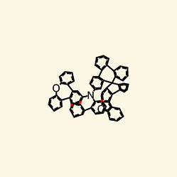 c1ccc(-c2ccccc2N(c2ccc3c(c2)-c2ccccc2Oc2ccccc2-3)c2ccc3c(c2)C2(c4ccccc4-c4ccccc4-3)c3ccccc3-c3c2ccc2oc4ccccc4c32)cc1